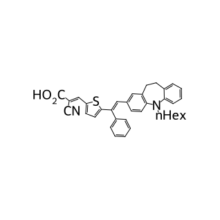 CCCCCCN1c2ccccc2CCc2cc(/C=C(\c3ccccc3)c3ccc(/C=C(\C#N)C(=O)O)s3)ccc21